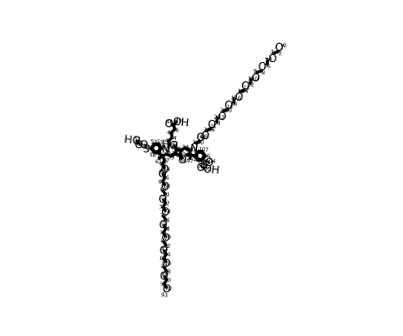 COCCOCCOCCOCCOCCOCCOCCOCCOCCOOCCN1C(=CC2=C(O)C(=CC3=[N+](CCCCCC(=O)O)c4ccc(SOOO)cc4C3(C)CCOOCCOCCOCCOCCOCCOCCOCCOCCOCCOC)C2=O)C(C)(C)c2cc(S(=O)(=O)O)ccc21